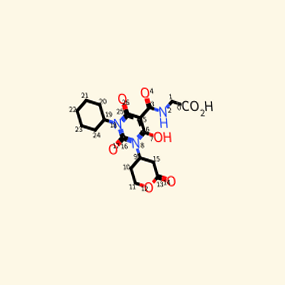 O=C(O)CNC(=O)c1c(O)n(C2CCOC(=O)C2)c(=O)n(C2CCCCC2)c1=O